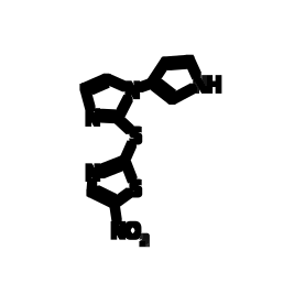 O=[N+]([O-])c1cnc(Sc2nccn2-c2cc[nH]c2)s1